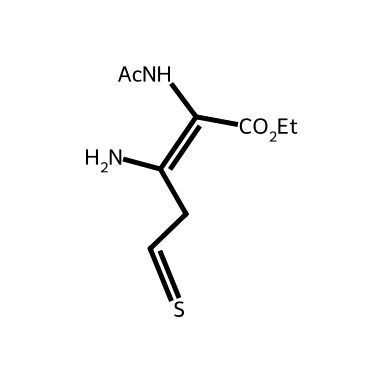 CCOC(=O)/C(NC(C)=O)=C(/N)CC=S